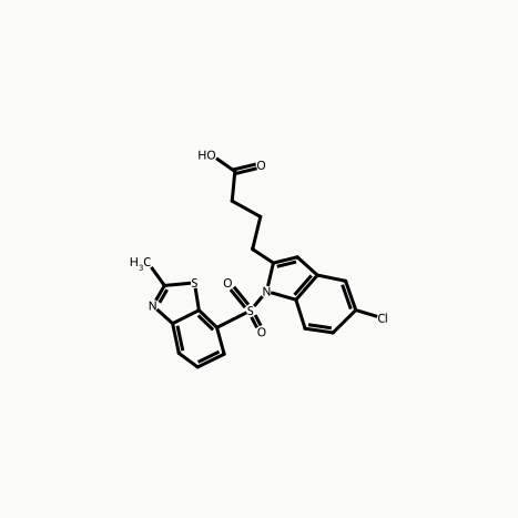 Cc1nc2cccc(S(=O)(=O)n3c(CCCC(=O)O)cc4cc(Cl)ccc43)c2s1